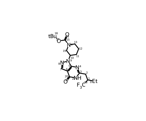 CCC(Cc1nc2c(cnn2C2CCCN(C(=O)OC(C)(C)C)C2)c(=O)[nH]1)C(F)(F)F